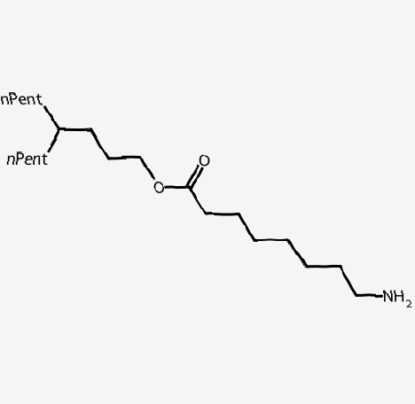 CCCCCC(CCCCC)CCCOC(=O)CCCCCCCN